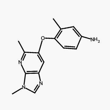 Cc1cc(N)ccc1Oc1cc2ncn(C)c2nc1C